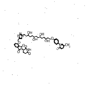 Cc1ccc(=O)n(-c2ccc(OCCC(O)CCC(O)CCC(O)CCC(O)CCn3cc(COc4cccc5c4C(=O)N(C4CCC(=O)NC4=O)C5=O)nn3)cc2)c1